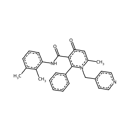 Cc1cccc(NC(=O)c2c(-c3ccccc3)n(Cc3ccncc3)c(C)cc2=O)c1C